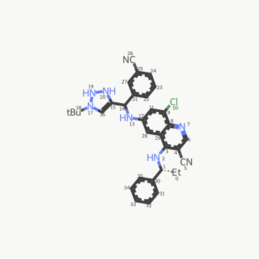 CC[C@@H](Nc1c(C#N)cnc2c(Cl)cc(NC(C3=CN(C(C)(C)C)NN3)c3cccc(C#N)c3)cc12)c1ccccc1